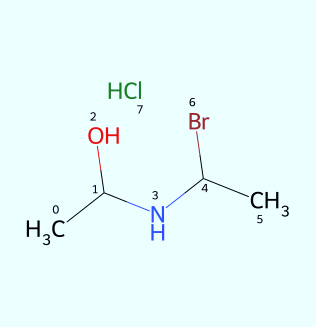 CC(O)NC(C)Br.Cl